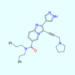 CC(C)CCN(CCC(C)C)C(=O)c1ccc2nc(-c3cn[nH]c3)c(C#CCN3CCCC3)n2c1